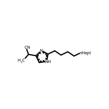 CCCCCCCCCCCc1nc(C(C)C#N)c[nH]1